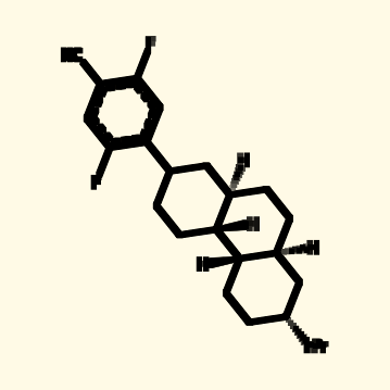 CCC[C@@H]1CC[C@H]2[C@@H](CC[C@@H]3CC(c4cc(F)c(C#N)cc4F)CC[C@H]32)C1